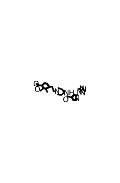 Cc1c(CCN2CCC(NC(=O)c3ccnc(-n4cnnn4)c3)CC2)ccc2c1COC2=O